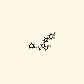 O=C(OCc1ccccc1)N1CC(c2csc(-c3ccc(F)cc3)n2)C2NCCC21